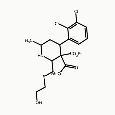 CCOC(=O)C1(C(=O)OC)C(CSCCO)NC(C)CC1c1cccc(Cl)c1Cl